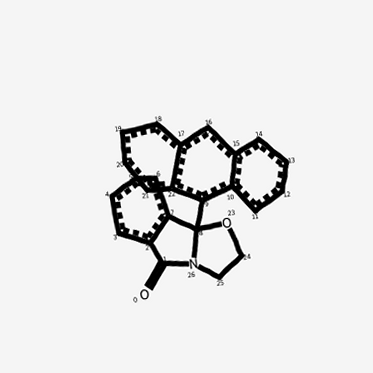 O=C1c2ccccc2C2(c3c4ccccc4cc4ccccc34)OCCN12